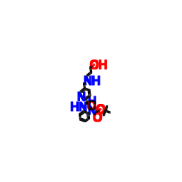 CC(C)(C)OC(=O)Nc1ccccc1NC(=O)c1ccc(CNCCCO)cn1